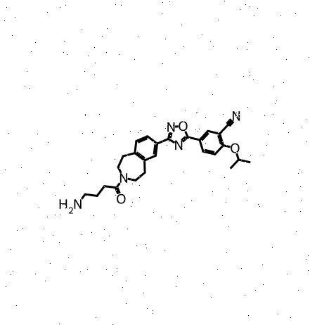 CC(C)Oc1ccc(-c2nc(-c3ccc4c(c3)CCN(C(=O)CCCN)CC4)no2)cc1C#N